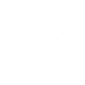 Nc1cc(Br)cc(Br)c1CO